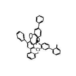 Cc1ccccc1-c1ccc2c(c1)Oc1c(-c3ccccc3C)cc(-c3ccccc3)c3c1P2(=O)c1ccc(-c2ccccc2)cc1O3